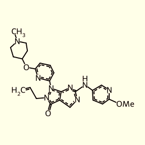 C=CCn1c(=O)c2cnc(Nc3ccc(OC)nc3)nc2n1-c1cccc(OC2CCN(C)CC2)n1